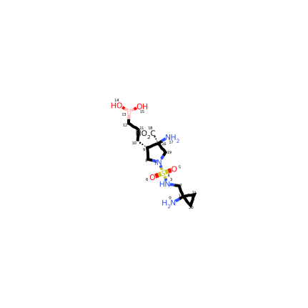 NC1(CNS(=O)(=O)N2C[C@H](CCCB(O)O)[C@](N)(C(=O)O)C2)CC1